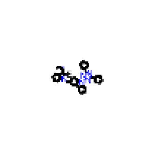 C/C=C\c1c(CC)n(Cc2ccc3c(c2)c2ccccc2n3-c2nc(-c3ccccc3)nc(-c3ccccc3)n2)c2ccccc12